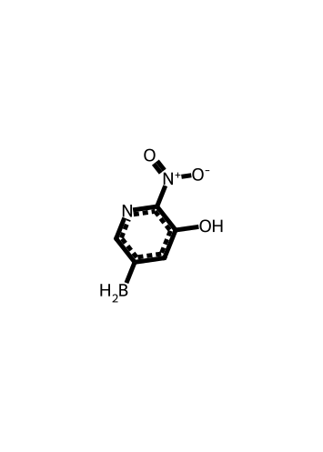 Bc1cnc([N+](=O)[O-])c(O)c1